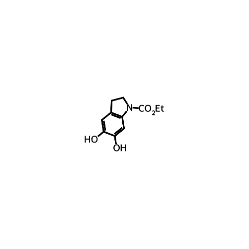 CCOC(=O)N1CCc2cc(O)c(O)cc21